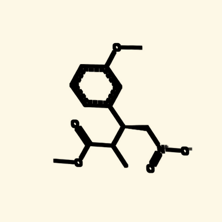 COC(=O)C(C)[C@H](C[N+](=O)[O-])c1cccc(OC)c1